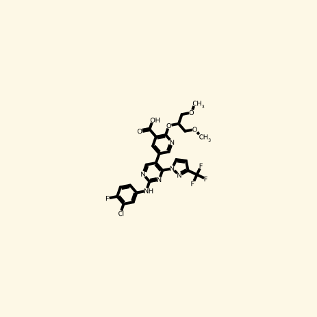 COCC(COC)Oc1ncc(-c2cnc(Nc3ccc(F)c(Cl)c3)nc2-n2ccc(C(F)(F)F)n2)cc1C(=O)O